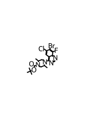 CC1CN(c2ncnc3c(F)c(Br)c(Cl)cc23)C(C)CN1C(=O)OC(C)(C)C